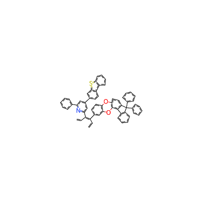 C=C/C(=C(\C=C)c1cc(-c2ccc3c(c2)sc2ccccc23)cc(-c2ccccc2)n1)c1ccc2c(c1)Oc1c(ccc3c1-c1ccccc1C3(c1ccccc1)c1ccccc1)O2